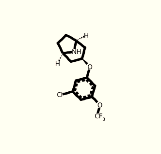 FC(F)(F)Oc1cc(Cl)cc(O[C@H]2C[C@H]3CC[C@@H](C2)N3)c1